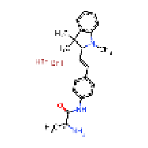 Br.Br.C[C@H](N)C(=O)Nc1ccc(C=CC2N(C)c3ccccc3C2(C)C)cc1